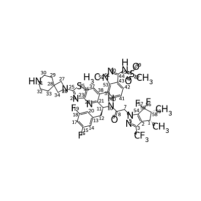 C[C@@H]1c2c(C(F)(F)F)nn(CC(=O)N[C@@H](Cc3cc(F)cc(F)c3)c3nc4nc(N5CC6(CCNCC6)C5)sc4cc3-c3cccc4c(NS(C)(=O)=O)nn(C)c34)c2C(F)(F)[C@@H]1C